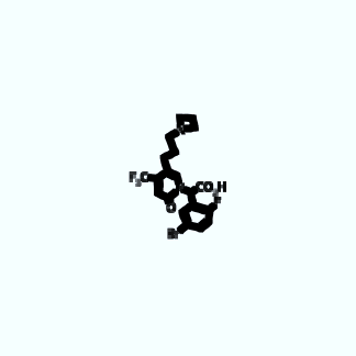 O=C(O)C(c1cc(Br)ccc1F)n1cc(CCCN2CCC2)c(C(F)(F)F)cc1=O